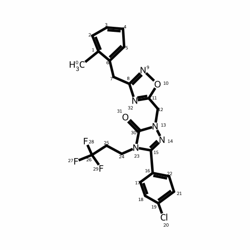 Cc1ccccc1Cc1noc(Cn2nc(-c3ccc(Cl)cc3)n(CCC(F)(F)F)c2=O)n1